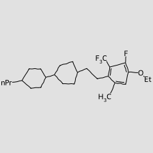 CCCC1CCC(C2CCC(CCc3c(C)cc(OCC)c(F)c3C(F)(F)F)CC2)CC1